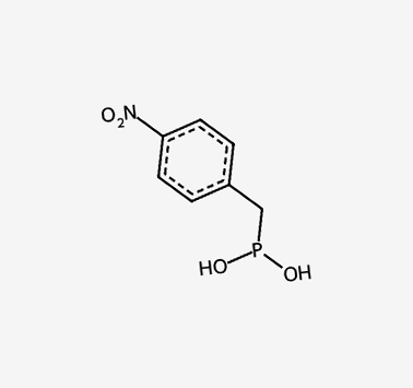 O=[N+]([O-])c1ccc(CP(O)O)cc1